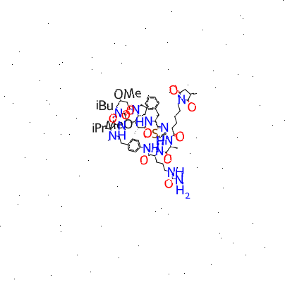 CC[C@H](C)[C@@H]([C@@H](CC(=O)N1CCC[C@H]1[C@H](OC)[C@@H](C)C(=O)N[C@@H](Cc1ccccc1)c1nccs1)OC)N(C)C(=O)[C@H](C)NC(=O)[C@H](C(C)C)N(C)CCc1ccc(NC(=O)[C@H](CCCNC(N)=O)NC(=O)[C@H](C)NC(=O)CCCCCN2C(=O)CC(C)C2=O)cc1